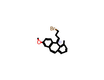 COc1ccc2c(c1)C=Cc1cccc(C)c1/C2=C/CCBr